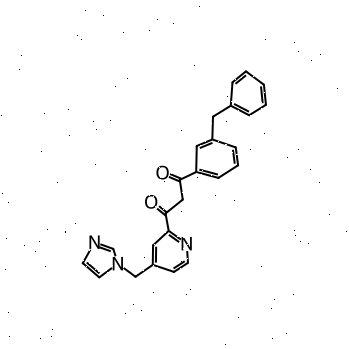 O=C(CC(=O)c1cc(Cn2ccnc2)ccn1)c1cccc(Cc2ccccc2)c1